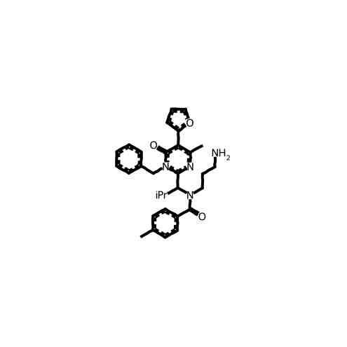 Cc1ccc(C(=O)N(CCCN)C(c2nc(C)c(-c3ccco3)c(=O)n2Cc2ccccc2)C(C)C)cc1